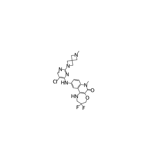 CN1CC2(C1)CN(c1ncc(Cl)c(Nc3ccc4c(c3)c3c(c(=O)n4C)OCC(F)(F)CN3)n1)C2